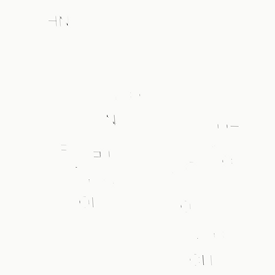 O=C(O)C(F)(F)F.O=C(O)COc1ccc(C(=O)CNC(=O)CCC2CCNCC2)cc1OCC(=O)O